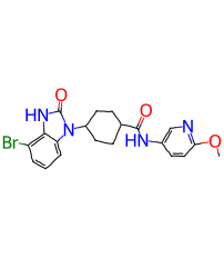 COc1ccc(NC(=O)C2CCC(n3c(=O)[nH]c4c(Br)cccc43)CC2)cn1